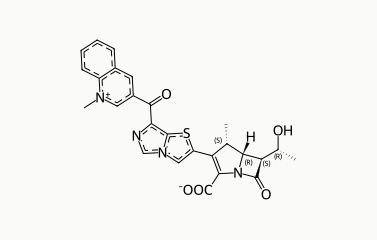 C[C@@H](O)[C@H]1C(=O)N2C(C(=O)[O-])=C(c3cn4cnc(C(=O)c5cc6ccccc6[n+](C)c5)c4s3)[C@H](C)[C@H]12